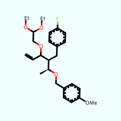 C=CC(OCC(OCC)OCC)C(Cc1ccc(F)cc1)[C@H](C)OCc1ccc(OC)cc1